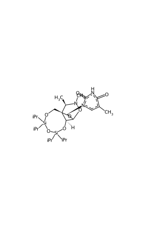 Cc1cn([C@@H]2O[C@]34CO[Si](C(C)C)(C(C)C)O[Si](C(C)C)(C(C)C)O[C@@H]3C2ON(C)[C@@H]4C)c(=O)[nH]c1=O